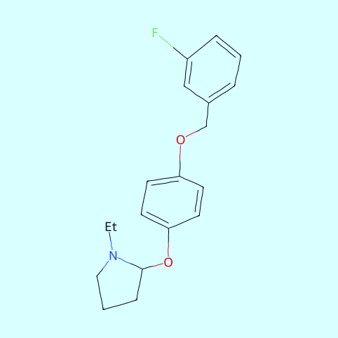 CCN1CCCC1Oc1ccc(OCc2cccc(F)c2)cc1